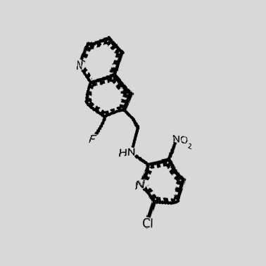 O=[N+]([O-])c1ccc(Cl)nc1NCc1cc2cccnc2cc1F